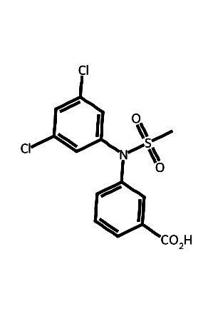 CS(=O)(=O)N(c1cc(Cl)cc(Cl)c1)c1cccc(C(=O)O)c1